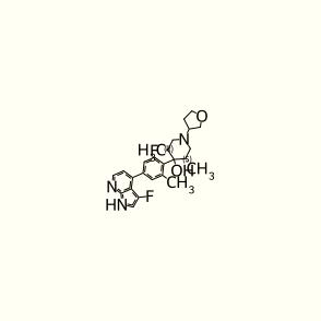 Cc1cc(-c2ccnc3[nH]cc(F)c23)cc(F)c1C1(O)[C@H](C)CN(C2CCOC2)C[C@@H]1C